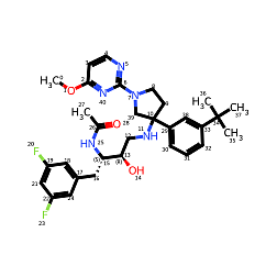 COc1ccnc(N2CCC(NC[C@@H](O)[C@H](Cc3cc(F)cc(F)c3)NC(C)=O)(c3cccc(C(C)(C)C)c3)C2)n1